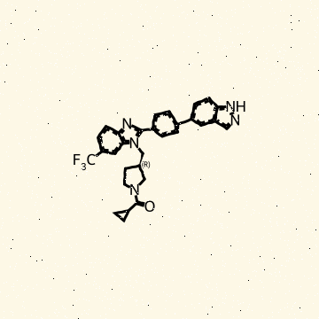 O=C(C1CC1)N1CC[C@@H](Cn2c(-c3ccc(-c4ccc5[nH]ncc5c4)cc3)nc3ccc(C(F)(F)F)cc32)C1